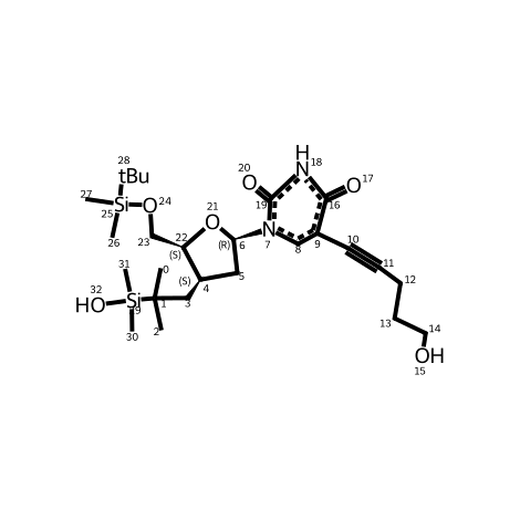 CC(C)(C[C@@H]1C[C@H](n2cc(C#CCCCO)c(=O)[nH]c2=O)O[C@@H]1CO[Si](C)(C)C(C)(C)C)[Si](C)(C)O